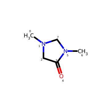 CN1CC(=O)N(C)C1